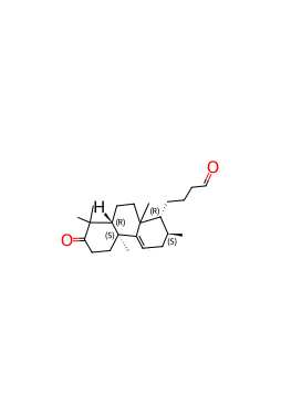 C[C@H]1CC=C2C(C)(CC[C@H]3C(C)(C)C(=O)CC[C@]23C)[C@@H]1CCCC=O